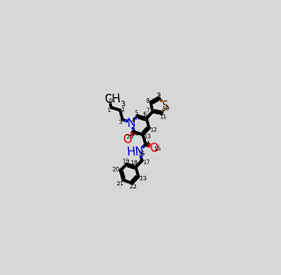 CCCCn1cc(-c2ccsc2)cc(C(=O)NCc2ccccc2)c1=O